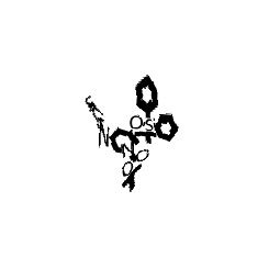 CC(C)(C)OC(=O)N1C[C@H](N=C=S)C[C@H](O[Si](c2ccccc2)(c2ccccc2)C(C)(C)C)C1